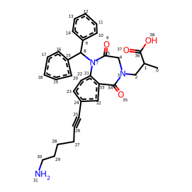 CC(CN1CC(=O)N(C(c2ccccc2)c2ccccc2)c2ccc(C#CCCCCN)cc2C1=O)C(=O)O